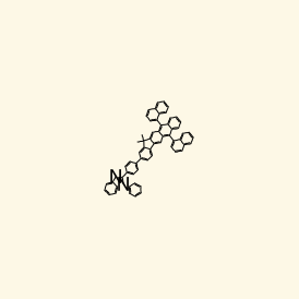 CC1(C)c2cc(-c3ccc(-c4nc5ccccc5n4-c4ccccc4)cc3)ccc2-c2cc3c(-c4cccc5ccccc45)c4ccccc4c(-c4cccc5ccccc45)c3cc21